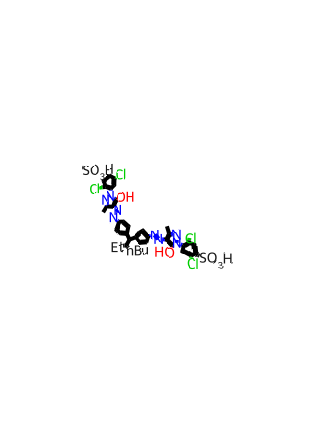 CCCCC(CC)C(c1ccc(/N=N/c2c(C)nn(-c3cc(Cl)c(S(=O)(=O)O)cc3Cl)c2O)cc1)c1ccc(/N=N/c2c(C)nn(-c3cc(Cl)c(S(=O)(=O)O)cc3Cl)c2O)cc1